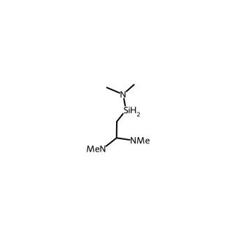 CNC(C[SiH2]N(C)C)NC